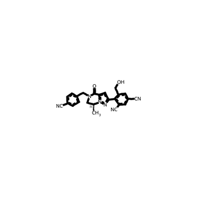 C[C@H]1CN(Cc2ccc(C#N)cc2)C(=O)c2cc(-c3c(C#N)cc(C#N)cc3CO)nn21